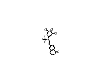 O=C1CCCc2cc(C=CC(c3cc(Cl)c(Cl)c(Cl)c3)C(F)(F)F)ccc21